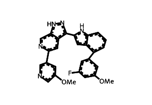 COc1cncc(-c2cc3c(-c4cc5c(-c6cc(F)cc(OC)c6)cccc5[nH]4)n[nH]c3cn2)c1